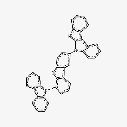 c1ccc2c(c1)nc1n(-c3ccc4oc5c(-n6c7ccccc7c7ccccc76)cccc5c4c3)c3ccccc3n21